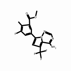 COC(=O)c1cc(-c2cc(C(F)(F)F)c3c(N)ncnn23)cc(F)c1C